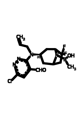 C=CCN(c1nnc(Cl)cc1C=O)[C@@H]1CC2CC(F)(F)C(C1)N2B(C)O